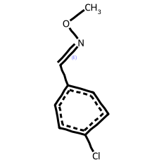 CO/N=C/c1ccc(Cl)cc1